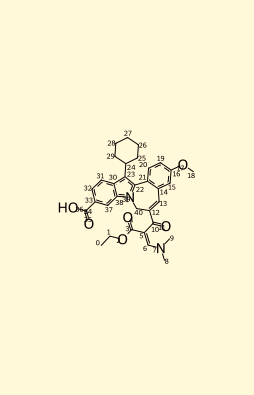 CCOC(=O)/C(=C/N(C)C)C(=O)C1=Cc2cc(OC)ccc2-c2c(C3CCCCC3)c3ccc(C(=O)O)cc3n2C1